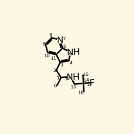 CC(Cc1c[nH]c2ncccc12)NCC(C)(C)F